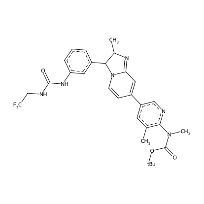 Cc1cc(C2=CC3=NC(C)C(c4cccc(NC(=O)NCC(F)(F)F)c4)N3C=C2)cnc1N(C)C(=O)OC(C)(C)C